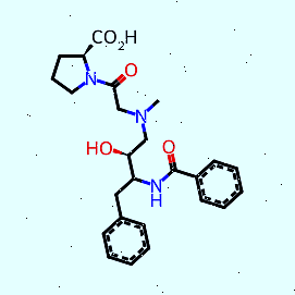 CN(CC(=O)N1CCC[C@H]1C(=O)O)C[C@H](O)C(Cc1ccccc1)NC(=O)c1ccccc1